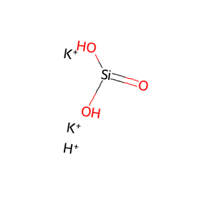 O=[Si](O)O.[H+].[K+].[K+]